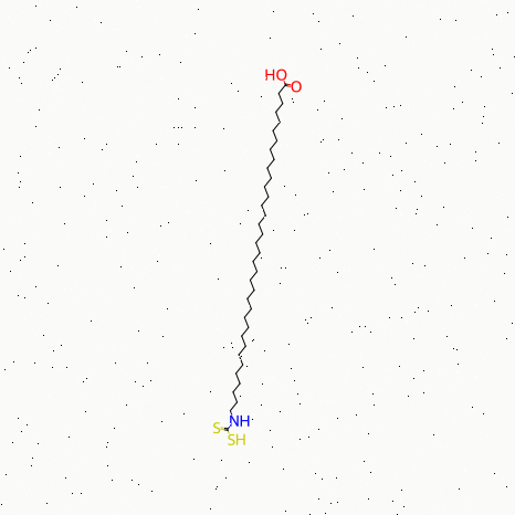 O=C(O)CCCCCCCCCCCCCCCCCCCCCCCCCCCCCCCCCCCNC(=S)S